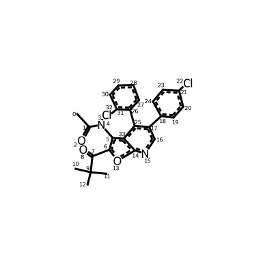 CC(=O)N(C)c1c(C(=O)C(C)(C)C)oc2ncc(-c3ccc(Cl)cc3)c(-c3ccccc3Cl)c12